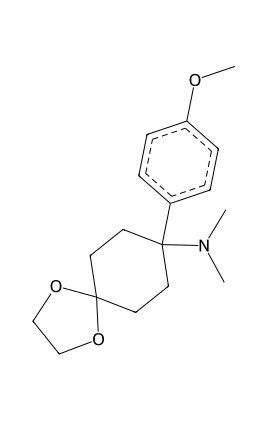 COc1ccc(C2(N(C)C)CCC3(CC2)OCCO3)cc1